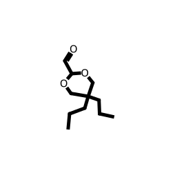 CCCC1(CCC)COC(C=O)OC1